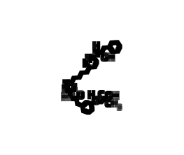 CC(C)(O)COc1cccc(CC(=O)Nc2nnc(CCCCc3ccc(NC(O)Cc4ccccc4)nn3)s2)c1